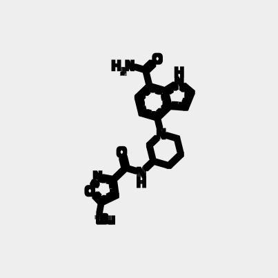 CC(C)(C)c1cc(C(=O)NC2CCCN(c3ccc(C(N)=O)c4[nH]ccc34)C2)no1